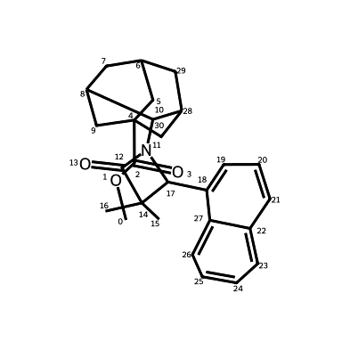 COC(=O)C12CC3CC(C1)C(N1C(=O)C(C)(C)C1c1cccc4ccccc14)C(C3)C2